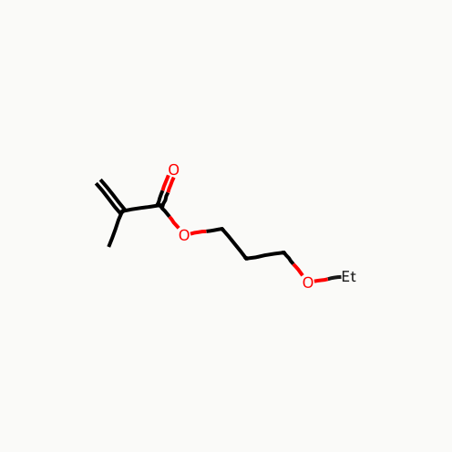 [CH2]COCCCOC(=O)C(=C)C